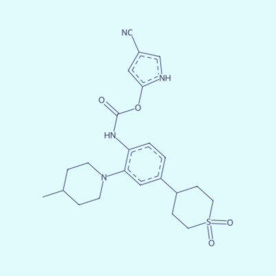 CC1CCN(c2cc(C3CCS(=O)(=O)CC3)ccc2NC(=O)Oc2cc(C#N)c[nH]2)CC1